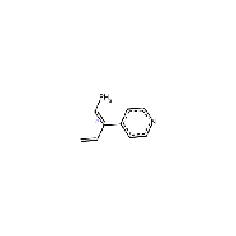 C=C/C(=C/P)c1ccncc1